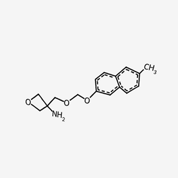 Cc1ccc2cc(OCOCC3(N)COC3)ccc2c1